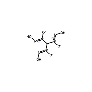 [O-]/[N+](=N\O)C(/[N+]([O-])=N/O)/[N+]([O-])=N/O